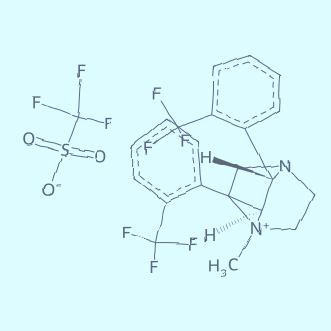 C[N+]12CCN(CC1)[C@@H](c1ccccc1C(F)(F)F)[C@@H]2c1ccccc1C(F)(F)F.O=S(=O)([O-])C(F)(F)F